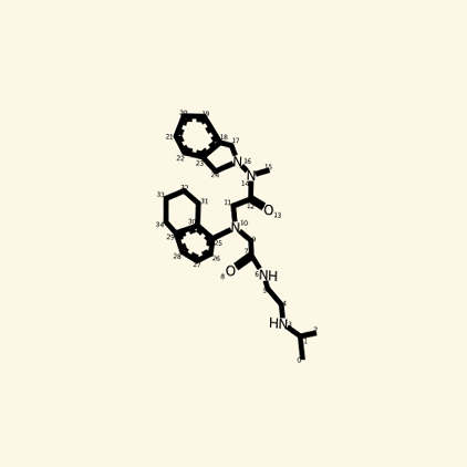 CC(C)NCCNC(=O)CN(CC(=O)N(C)N1Cc2ccccc2C1)c1cccc2c1CCCC2